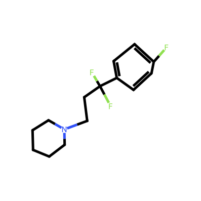 Fc1ccc(C(F)(F)CCN2CCCCC2)cc1